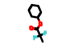 CC(F)(F)C(=O)OC1CCCCC1